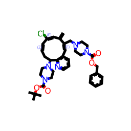 C=C1/C=C(Cl)\C=C/CC(N2CCN(C(=O)OC(C)(C)C)CC2)c2ncccc2/C=C\1CN1CCN(C(=O)OCc2ccccc2)CC1